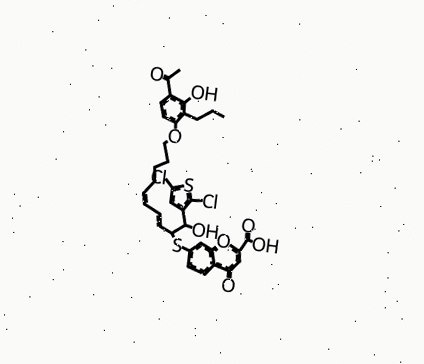 CCCc1c(OCCCC/C=C\C=C\C(Sc2ccc3c(=O)cc(C(=O)O)oc3c2)C(O)c2cc(Cl)sc2Cl)ccc(C(C)=O)c1O